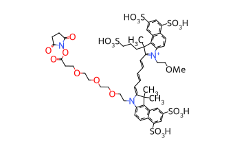 COCC[N+]1=C(/C=C/C=C/C=C2/N(CCOCCOCCOCCC(=O)ON3C(=O)CCC3=O)c3ccc4c(S(=O)(=O)O)cc(S(=O)(=O)O)cc4c3C2(C)C)C(C)(CCCS(=O)(=O)O)c2c1ccc1c(S(=O)(=O)O)cc(S(=O)(=O)O)cc21